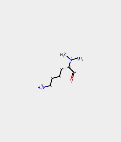 CN(C)[C@H]([C]=O)CCCCN